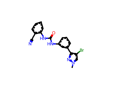 Cn1cc(Br)c(-c2cccc(NC(=O)Nc3ccccc3C#N)c2)n1